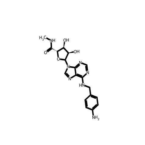 CNC(=O)[C@H]1OC(n2cnc3c(NCc4ccc(N)cc4)ncnc32)[C@H](O)[C@@H]1O